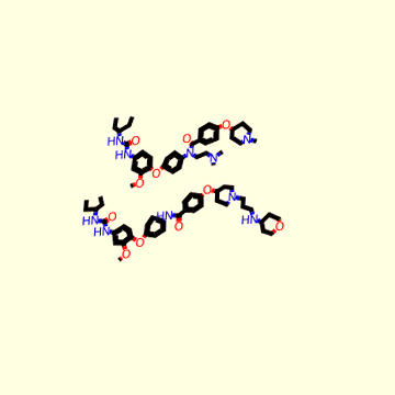 CCC(CC)NC(=O)Nc1ccc(Oc2ccc(N(CCN(C)C)C(=O)c3ccc(OC4CCN(C)CC4)cc3)cc2)c(OC)c1.CCC(CC)NC(=O)Nc1ccc(Oc2ccc(NC(=O)c3ccc(OC4CCN(CCCNC5CCOCC5)CC4)cc3)cc2)c(OC)c1